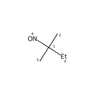 CCC(C)(C)N=O